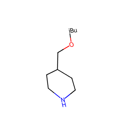 CCC(C)OCC1CCNCC1